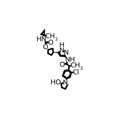 CC(C(=O)Nc1cc([C@H]2CC[C@H](OC(=O)NC3(C)CC3)C2)[nH]n1)c1ccc(N2CCCC2O)cc1Cl